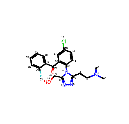 CN(C)CCc1nnc(CO)n1-c1ccc(Cl)cc1C(=O)c1ccccc1F